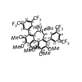 CCCC[N+]1(CCCC)Cc2c(-c3cc(C(F)(F)F)cc(C(F)(F)F)c3)c(OC)c(OC)c(OC)c2-c2c(c(-c3cc(C(F)(F)F)cc(C(F)(F)F)c3)c(OC)c(OC)c2OC)C1